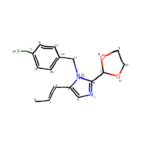 CC=Cc1cnc(C2OCCO2)n1Cc1ccc(F)cc1